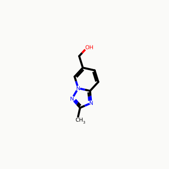 Cc1nc2ccc(CO)cn2n1